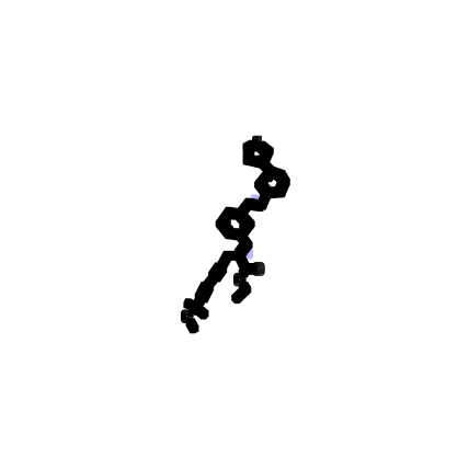 CCOC(=O)/C(=C/c1cccc(/C=C/c2cccc(-c3ccsc3)c2)c1)CC#CC#CC(C)(C)OC